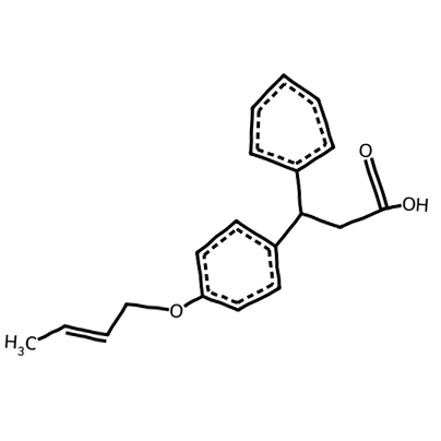 CC=CCOc1ccc(C(CC(=O)O)c2ccccc2)cc1